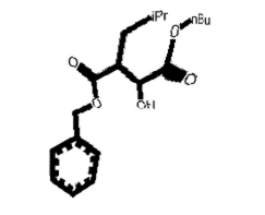 CCCCOC(=O)C(O)C(CC(C)C)C(=O)OCc1ccccc1